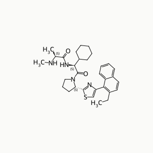 CCc1ccc2ccccc2c1-c1csc([C@@H]2CCCN2C(=O)[C@@H](NC(=O)[C@H](C)NC)C2CCCCC2)n1